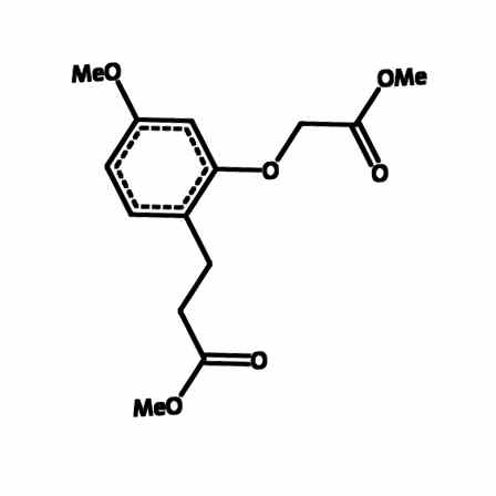 COC(=O)CCc1ccc(OC)cc1OCC(=O)OC